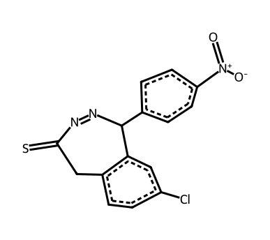 O=[N+]([O-])c1ccc(C2N=NC(=S)Cc3ccc(Cl)cc32)cc1